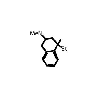 CCC1(C)CC(NC)Cc2ccccc21